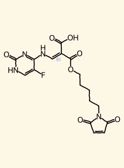 O=C(O)/C(=C\Nc1nc(=O)[nH]cc1F)C(=O)OCCCCCN1C(=O)C=CC1=O